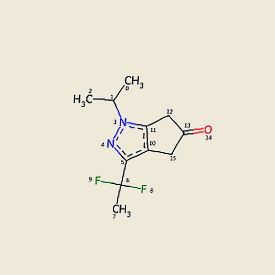 CC(C)n1nc(C(C)(F)F)c2c1CC(=O)C2